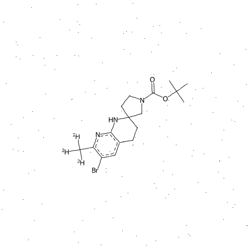 [2H]C([2H])([2H])c1nc2c(cc1Br)CCC1(CCN(C(=O)OC(C)(C)C)C1)N2